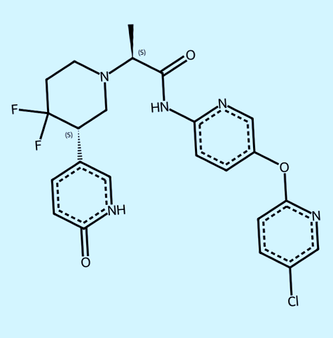 C[C@@H](C(=O)Nc1ccc(Oc2ccc(Cl)cn2)cn1)N1CCC(F)(F)[C@@H](c2ccc(=O)[nH]c2)C1